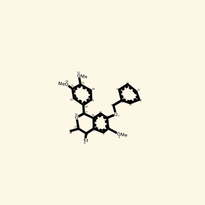 CCC1c2cc(OC)c(OCc3ccccc3)cc2C(c2ccc(OC)c(OC)c2)OC1C